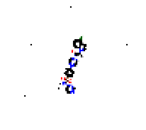 C[C@@H](C(=O)N1CCN(c2ccc(S(=O)(=O)Nc3ccncn3)cc2)CC1)n1ccc2c(F)cccc21